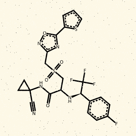 N#CC1(NC(=O)C(CS(=O)(=O)Cc2noc(-c3cccs3)n2)N[C@H](c2ccc(F)cc2)C(F)(F)F)CC1